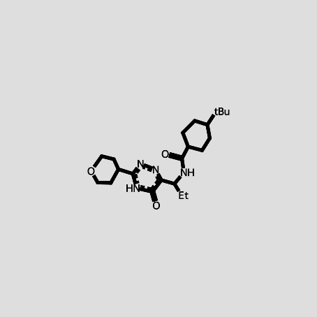 CCC(NC(=O)C1CCC(C(C)(C)C)CC1)c1nnc(C2CCOCC2)[nH]c1=O